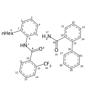 CCCCCCc1ccccc1NC(=O)c1ccccc1C(F)(F)F.NC(=O)c1ccccc1-c1ccccc1